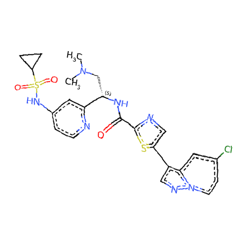 CN(C)C[C@H](NC(=O)c1ncc(-c2cnn3ccc(Cl)cc23)s1)c1cc(NS(=O)(=O)C2CC2)ccn1